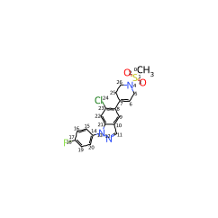 CS(=O)(=O)N1CC=C(c2cc3cnn(-c4ccc(F)cc4)c3cc2Cl)CC1